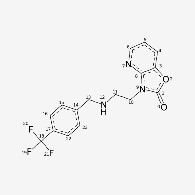 O=c1oc2cccnc2n1CCNCc1ccc(C(F)(F)F)cc1